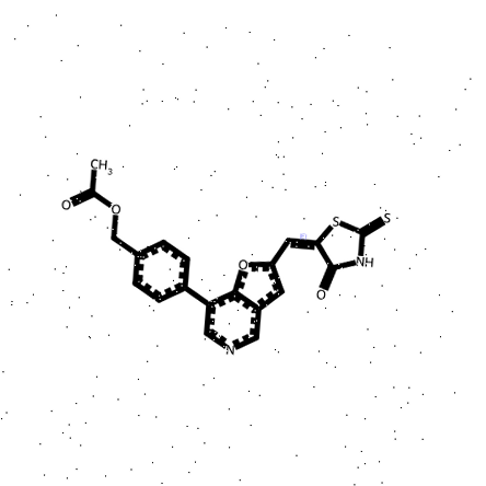 CC(=O)OCc1ccc(-c2cncc3cc(/C=C4/SC(=S)NC4=O)oc23)cc1